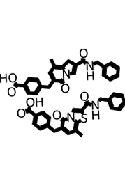 Cc1cc(Cc2ccc(C(=O)O)cc2)c(=O)n2c1CC(C(=O)NCc1ccccc1)=C2.Cc1cc(Cc2ccc(C(=O)O)cc2)c(=O)n2cc(C(=O)NCc3ccccc3)sc12